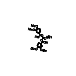 COc1ccc(B(O)OC(=O)OB(O)c2ccc(OC)c(OC)c2)cc1OC.[KH].[KH]